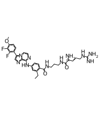 CCc1cc(Nc2nccn3c(-c4ccc(OC)c(F)c4F)cnc23)ccc1C(=O)NCCCNC(=O)[C@@H](N)CCCNC(=N)N